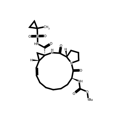 CC(C)(C)OC(=O)N[C@H]1CCCCC/C=C\[C@@H]2C[C@@]2(C(=O)NS(=O)(=O)C2(C)CC2)NC(=O)[C@@H]2CCCN2C1=O